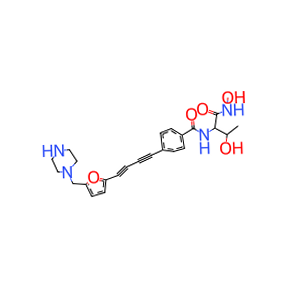 CC(O)C(NC(=O)c1ccc(C#CC#Cc2ccc(CN3CCNCC3)o2)cc1)C(=O)NO